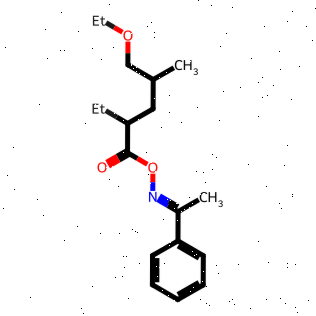 CCOCC(C)CC(CC)C(=O)ON=C(C)c1ccccc1